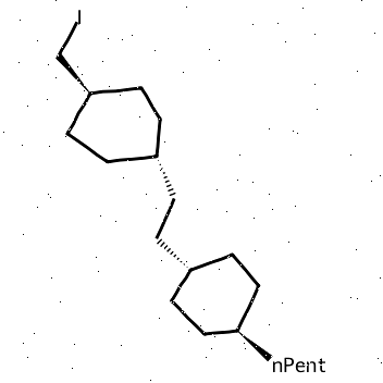 CCCCC[C@H]1CC[C@H](CC[C@H]2CC[C@H](CI)CC2)CC1